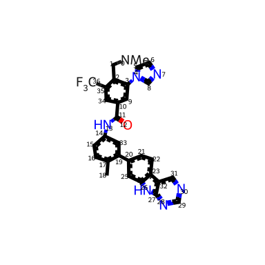 CNCc1c(-n2ccnc2)cc(C(=O)Nc2ccc(C)c(-c3ccc4c(c3)[nH]c3ncncc34)c2)cc1C(F)(F)F